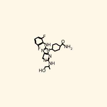 CC(CO)Nc1ncc2nc(Nc3c(F)cccc3F)n(C3CCC(C(N)=O)CC3)c2n1